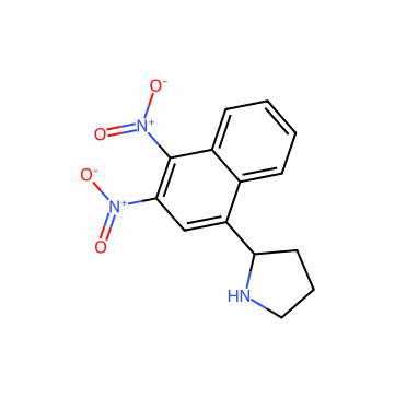 O=[N+]([O-])c1cc(C2CCCN2)c2ccccc2c1[N+](=O)[O-]